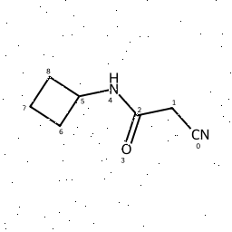 N#CCC(=O)NC1CCC1